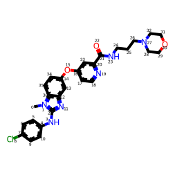 Cn1c(Nc2ccc(Cl)cc2)nc2cc(Oc3ccnc(C(=O)NCCCN4CCOCC4)c3)ccc21